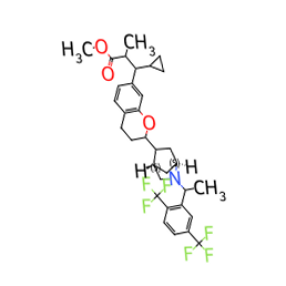 COC(=O)C(C)C(c1ccc2c(c1)OC(C1C[C@@H]3C[C@@H]1CN3C(C)c1cc(C(F)(F)F)ccc1C(F)(F)F)CC2)C1CC1